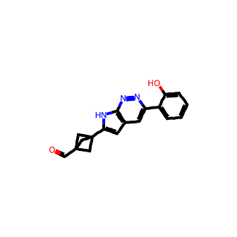 O=CC12CC(c3cc4cc(-c5ccccc5O)nnc4[nH]3)(C1)C2